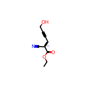 CCOC(=O)/C(C#N)=C/C#CCO